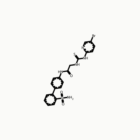 NS(=O)(=O)c1ccccc1-c1ccc(NC(=O)CNC(=S)Nc2ccc(Br)cn2)cc1